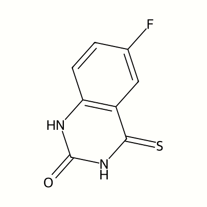 O=c1[nH]c(=S)c2cc(F)ccc2[nH]1